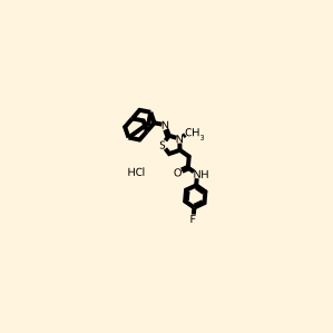 CN1C(=NC2C3CC4CC(C3)CC2C4)SCC1CC(=O)Nc1ccc(F)cc1.Cl